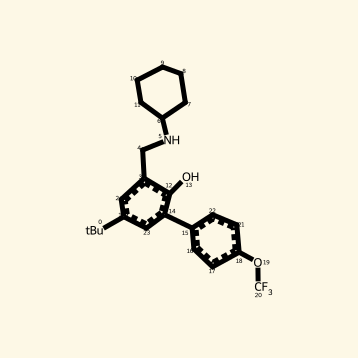 CC(C)(C)c1cc(CNC2CCCCC2)c(O)c(-c2ccc(OC(F)(F)F)cc2)c1